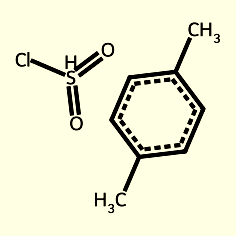 Cc1ccc(C)cc1.O=[SH](=O)Cl